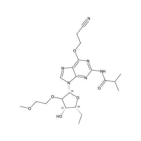 CC[C@H]1O[C@@H](n2cnc3c(OCCC#N)nc(NC(=O)C(C)C)nc32)C(OCCOC)[C@H]1O